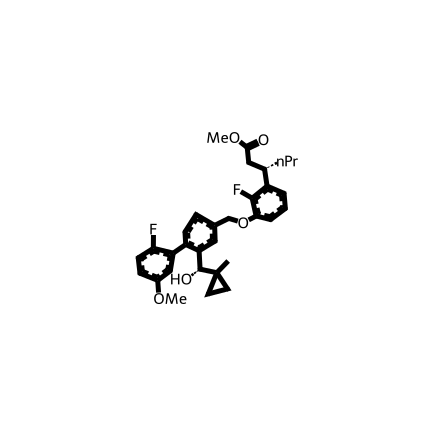 CCC[C@@H](CC(=O)OC)c1cccc(OCc2ccc(-c3cc(OC)ccc3F)c([C@@H](O)C3(C)CC3)c2)c1F